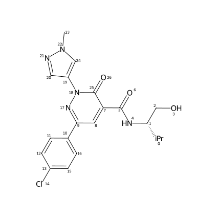 CC(C)[C@@H](CO)NC(=O)c1cc(-c2ccc(Cl)cc2)nn(-c2cnn(C)c2)c1=O